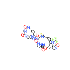 CO[C@@H](C)c1ncccc1-c1c2c3cc(ccc3n1CC(F)(F)F)-c1csc(n1)C[C@H](NC(=O)C(C1CCCC1)N1CC[C@]3(CCN(C(=O)[C@H]4CN4CC(=O)N(C)C)C3)C1)C(=O)N1CCC[C@H](N1)C(=O)OCC(C)(C)C2